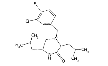 CC(C)CC1CN(Cc2ccc(F)c(Cl)c2)C(CC(C)C)C(=O)N1